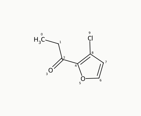 CCC(=O)c1occc1Cl